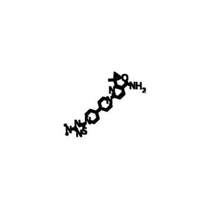 CN(C)c1nsc(N2CCC(C3CCN(c4ccc(C(N)=O)c(C5(C)CC5)n4)CC3)CC2)n1